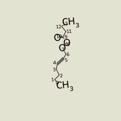 CCCCC#CCOOC(=O)CCC